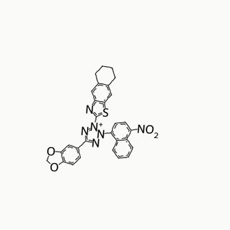 O=[N+]([O-])c1ccc(-n2nc(-c3ccc4c(c3)OCO4)n[n+]2-c2nc3cc4c(cc3s2)CCCC4)c2ccccc12